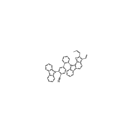 C=Cc1c(/C=C\C)oc2c1ccc1c3ccccc3n(-c3ccccc3-c3ccc(C#N)c(-n4c5ccccc5c5ccccc54)c3)c12